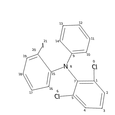 Clc1cccc(Cl)c1N(c1ccccc1)c1ccccc1I